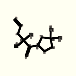 C=CCC(CC)(CC)C(=O)N1CCC(CC)(CC)C1